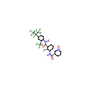 CN(C(=O)c1ccc[n+]([O-])c1)c1cccc(C(=O)N(I)c2ccc(C(F)(C(F)(F)F)C(F)(F)F)cc2C(F)(F)F)c1F